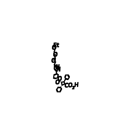 CCOCCOCCOCCn1cc(-c2cccc(OC(=O)[C@H]3[C@@H](c4ccccc4)[C@H](C(=O)O)[C@@H]3c3ccccc3)c2)nn1